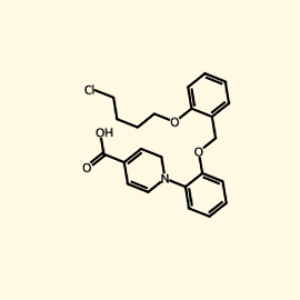 O=C(O)C1=CCN(c2ccccc2OCc2ccccc2OCCCCCl)C=C1